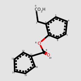 O=C(O)Cc1ccccc1OC(=O)c1ccccc1